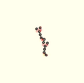 c1ccc2c(c1)Oc1cc(-c3ccc(-c4ccc5oc6c(-c7ccc8c(c7)B7c9ccccc9Oc9cc(-c%10ccc(-c%11ccc%12sc%13ccccc%13c%12c%11)cc%10)cc(c97)O8)cccc6c5c4)cc3)cc3c1B2c1ccccc1O3